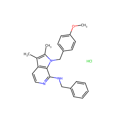 COc1ccc(Cn2c(C)c(C)c3ccnc(NCc4ccccc4)c32)cc1.Cl